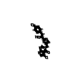 O=c1c2c(Cl)cnn2ncn1Cc1nc(C(O)Cc2ccc(Cl)cc2)no1